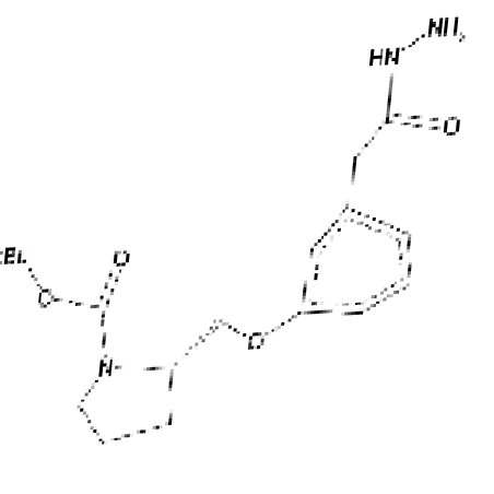 CC(C)(C)OC(=O)N1CCC[C@H]1COc1cccc(CC(=O)NN)c1